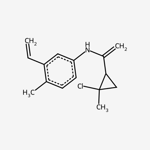 C=Cc1cc(NC(=C)C2CC2(C)Cl)ccc1C